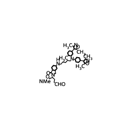 CNC(=O)C(CCC=O)N1Cc2cc(NCCCCCN(c3ccc(-c4c(C)noc4C)cc3)c3cc(-c4c(C)noc4C)ccc3C)ccc2C1=O